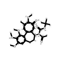 COc1cc2c(c(OC)c1OC)-c1cc(C)c(OC)c(=O)cc1[C@@H](N(C(C)=O)C(=O)OC(C)(C)C)CC2